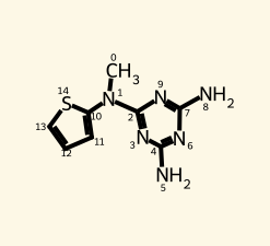 CN(c1nc(N)nc(N)n1)c1cccs1